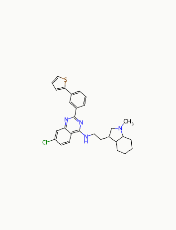 CN1CC(CCNc2nc(-c3cccc(-c4cccs4)c3)nc3cc(Cl)ccc23)C2CCCCC21